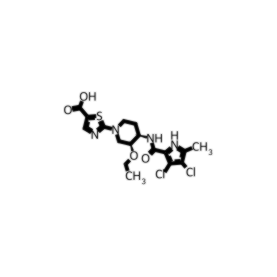 CCO[C@H]1CN(c2ncc(C(=O)O)s2)CC[C@H]1NC(=O)c1[nH]c(C)c(Cl)c1Cl